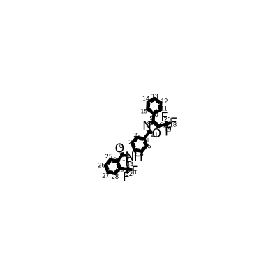 O=C(Nc1ccc(-c2nc(-c3ccccc3)c(C(F)(F)F)o2)cc1)c1ccccc1C(F)(F)F